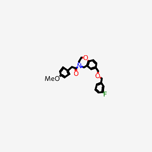 COc1ccc(CC(=O)N2CCOc3ccc(COCc4cccc(F)c4)cc3C2)cc1